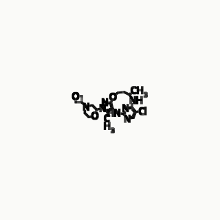 Cc1c2c(nn1C1CN(C3COC3)CCO1)OCC[C@@H](C)Nc1nc(ncc1Cl)N2